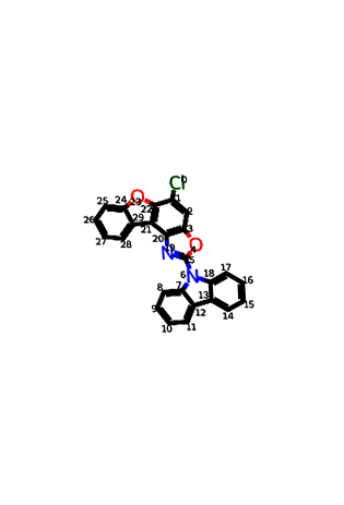 Clc1cc2oc(-n3c4ccccc4c4ccccc43)nc2c2c1oc1ccccc12